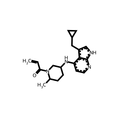 C=CC(=O)N1CC(Nc2ccnc3[nH]cc(CC4CC4)c23)CCC1C